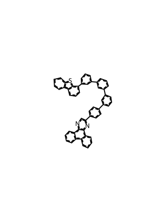 c1cc(-c2ccc(-c3cnc4c5ccccc5c5ccccc5c4n3)cc2)cc(-c2cccc(-c3cccc(-c4cccc5c4sc4ccccc45)c3)c2)c1